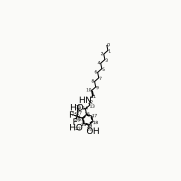 CCCCCCCCCCC=CNCC(O)c1ccc(O)c(O)c1C(F)(F)F